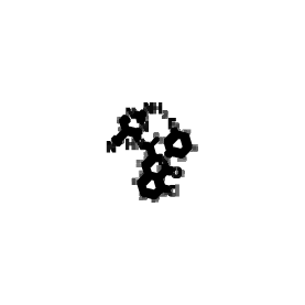 C[C@H](Nc1nc(N)ncc1C#N)c1cc2cccc(Cl)c2c(=O)n1-c1cccc(F)c1